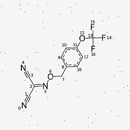 N#CC(C#N)=NOCc1ccc(OC(F)(F)F)cc1